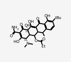 CCC(=O)OC1C2C(=C(O)[C@]3(O)C(=O)C(C(N)=O)=C(O)[C@@H](N(C)C)C13)C(=O)c1c(ccc(C(C)(C)C)c1O)C2C